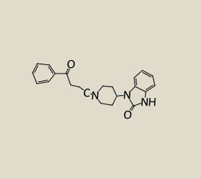 O=C(CCCN1CCC(n2c(=O)[nH]c3ccccc32)CC1)c1ccccc1